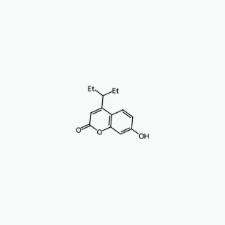 CCC(CC)c1cc(=O)oc2cc(O)ccc12